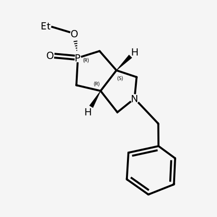 CCO[P@@]1(=O)C[C@H]2CN(Cc3ccccc3)C[C@H]2C1